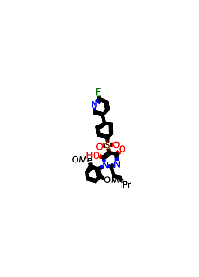 COc1cccc(OC)c1-n1c(CCC(C)C)nc(=O)c(S(=O)(=O)c2ccc(-c3ccc(F)nc3)cc2)c1O